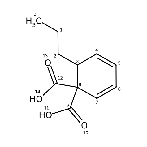 CCCC1C=CC=CC1(C(=O)O)C(=O)O